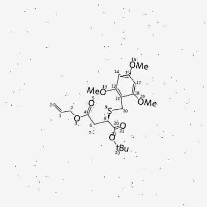 C=CCOC(=O)[C@@H](C)[C@@H](SCc1c(OC)cc(OC)cc1OC)C(=O)OC(C)(C)C